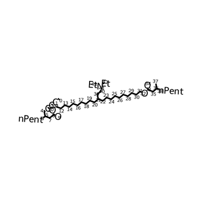 C=C=C=C=CC(CCCCC)CC(=O)OCCCCCCCCCCC(CCCCCCCCCCOC(=O)CC(C)CCCCC)CCN(CC)CC